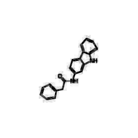 O=C(Cc1ccccc1)Nc1ccc2c(c1)[nH]c1ccccc12